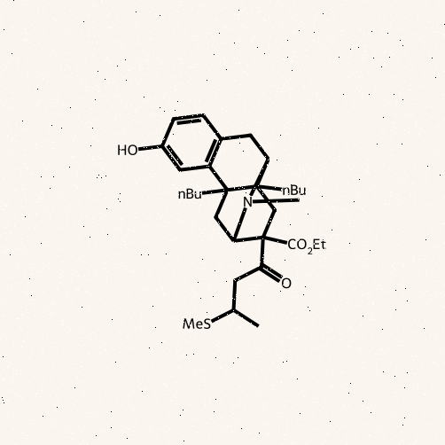 CCCCC12CC3N(C)C(Cc4ccc(O)cc41)C2(CCCC)CC3(C(=O)CC(C)SC)C(=O)OCC